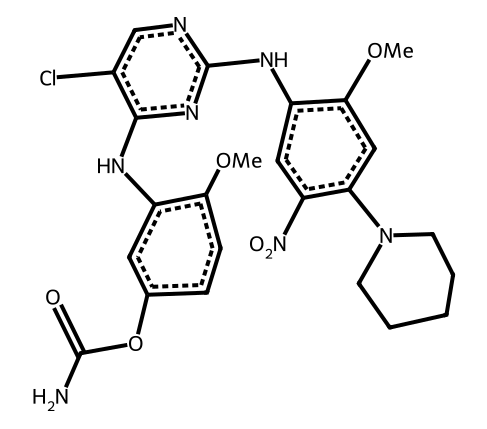 COc1cc(N2CCCCC2)c([N+](=O)[O-])cc1Nc1ncc(Cl)c(Nc2cc(OC(N)=O)ccc2OC)n1